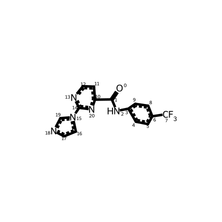 O=C(Nc1ccc(C(F)(F)F)cc1)c1ccnc(-n2ccnc2)n1